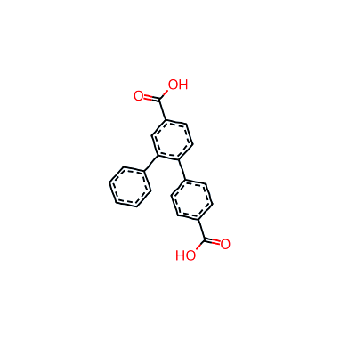 O=C(O)c1ccc(-c2ccc(C(=O)O)cc2-c2ccccc2)cc1